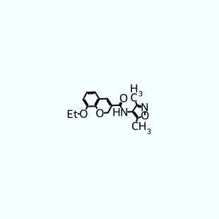 CCOc1cccc2c1OCC(C(=O)Nc1c(C)noc1C)=C2